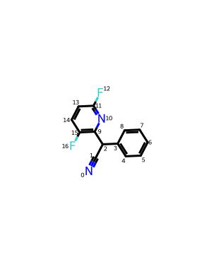 N#CC(c1ccccc1)c1nc(F)ccc1F